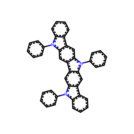 c1ccc(-n2c3ccccc3c3cc4c(cc32)c2cc3c(cc2n4-c2ccccc2)c2ccccc2n3-c2ccccc2)cc1